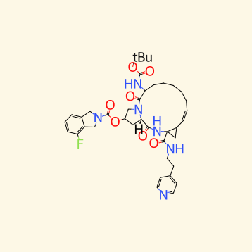 CC(C)(C)OC(=O)NC1CCCCC/C=C\C2CC2(C(=O)NCCc2ccncc2)NC(=O)[C@@H]2CC(OC(=O)N3Cc4cccc(F)c4C3)CN2C1=O